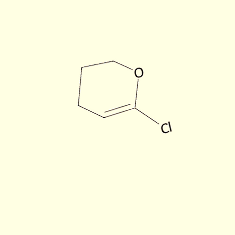 ClC1=CCCCO1